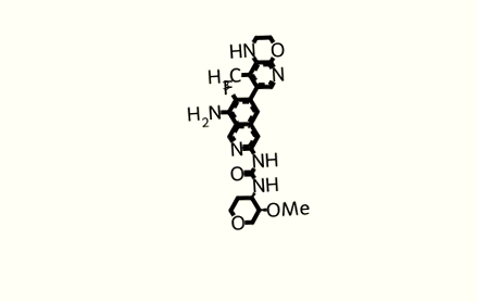 CO[C@H]1COCC[C@H]1NC(=O)Nc1cc2cc(-c3cnc4c(c3C)NCCO4)c(F)c(N)c2cn1